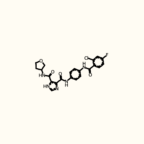 O=C(Nc1ccc(NC(=O)c2nc[nH]c2C(=O)NC2CCOC2)cc1)c1ccc(F)cc1Cl